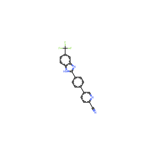 N#Cc1ccc(-c2ccc(-c3nc4cc(C(F)(F)F)ccc4[nH]3)cc2)cn1